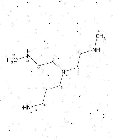 CNCCN(CCC[NH])CCNC